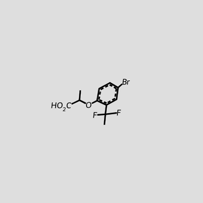 CC(Oc1ccc(Br)cc1C(C)(F)F)C(=O)O